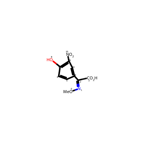 CO/N=C(/C(=O)O)c1ccc(O)c([N+](=O)[O-])c1